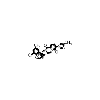 Cc1cn(-c2ccc3n(c2=O)CCN(C[C@]24C[C@H]2COc2c(Cl)cc(C(F)(F)F)cc24)C3=O)cn1